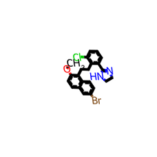 COc1ccc2cc(Br)ccc2c1CCc1c(Cl)cccc1C1=NCCN1